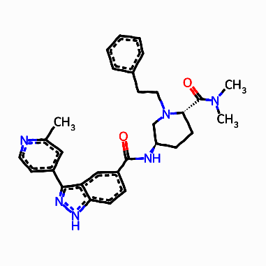 Cc1cc(-c2n[nH]c3ccc(C(=O)N[C@@H]4CC[C@@H](C(=O)N(C)C)N(CCc5ccccc5)C4)cc23)ccn1